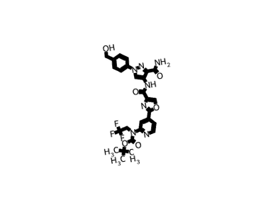 CC(C)(C)OC(=O)N(CC(F)(F)F)c1cc(-c2nc(C(=O)Nc3cn(-c4ccc(CO)cc4)nc3C(N)=O)co2)ccn1